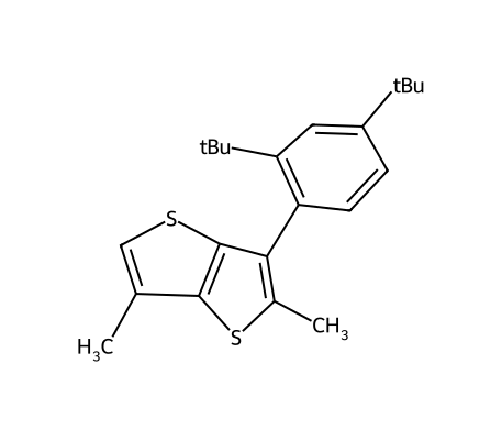 Cc1sc2c(C)csc2c1-c1ccc(C(C)(C)C)cc1C(C)(C)C